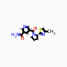 Cc1csc([C@H]2CCCN2C(=O)c2cncc(C(N)=O)c2)n1